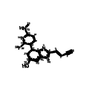 C#CC=Cc1nc2c(-c3ccc(NC)nc3[18F])cc(O)cc2s1